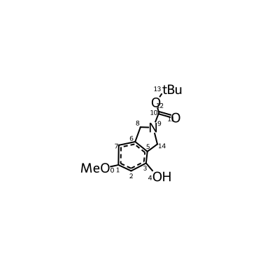 COc1cc(O)c2c(c1)CN(C(=O)OC(C)(C)C)C2